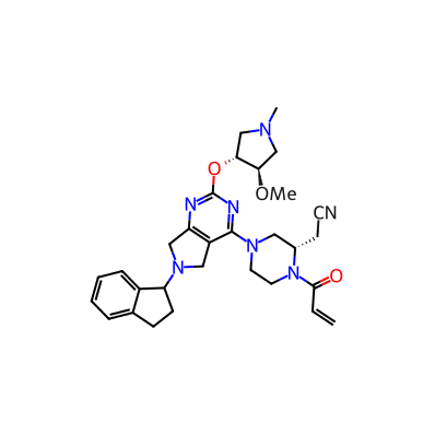 C=CC(=O)N1CCN(c2nc(O[C@@H]3CN(C)C[C@H]3OC)nc3c2CN(C2CCc4ccccc42)C3)C[C@@H]1CC#N